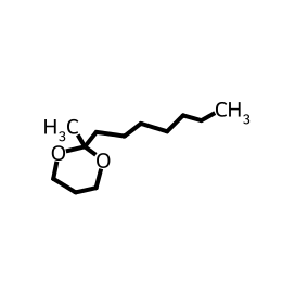 CCCCCCCC1(C)OCCCO1